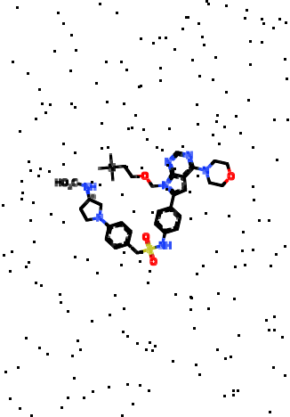 C[Si](C)(C)CCOCn1c(-c2ccc(NS(=O)(=O)Cc3ccc(N4CC[C@@H](NC(=O)O)C4)cc3)cc2)cc2c(N3CCOCC3)ncnc21